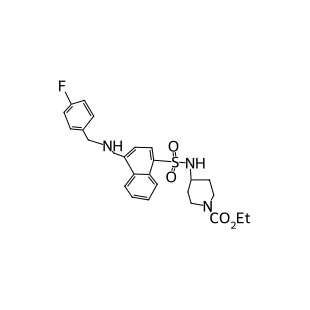 CCOC(=O)N1CCC(NS(=O)(=O)c2ccc(CNCc3ccc(F)cc3)c3ccccc23)CC1